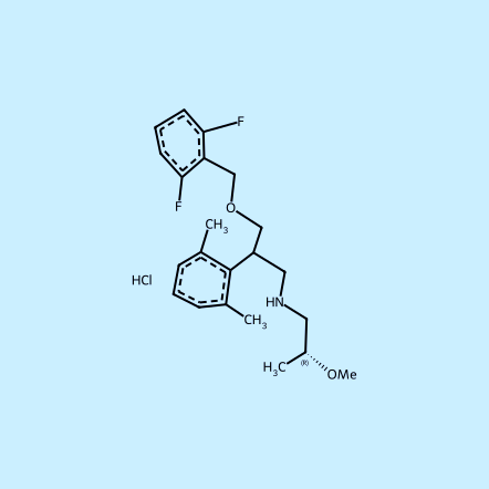 CO[C@H](C)CNCC(COCc1c(F)cccc1F)c1c(C)cccc1C.Cl